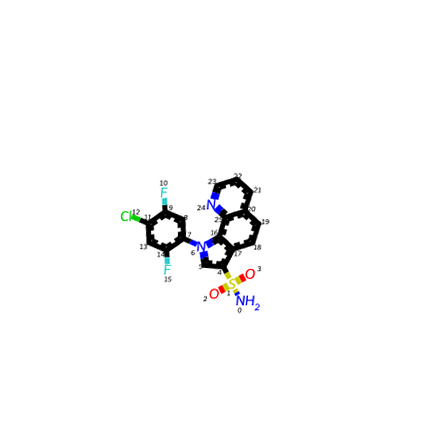 NS(=O)(=O)c1cn(-c2cc(F)c(Cl)cc2F)c2c1ccc1cccnc12